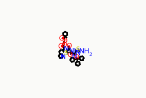 CC1(C(=O)OCOC(=O)C2=C(/C=C\c3cccnc3)CS[C@@H]3[C@H](NC(=O)/C(=N/OC(c4ccccc4)(c4ccccc4)c4ccccc4)c4csc(N)n4)C(=O)N23)CCCCC1